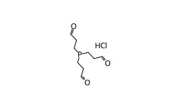 Cl.O=CCCP(CCC=O)CCC=O